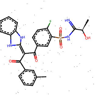 Cc1cccc(C(=O)C(C(=O)c2ccc(F)c(S(=O)(=O)NC(=N)[C@@H](C)O)c2)=C2Nc3ccccc3N2)c1